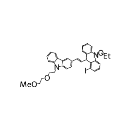 CCON1c2ccccc2C(C=Cc2ccc3c(c2)c2ccccc2n3CCOCCOC)c2c(I)cccc21